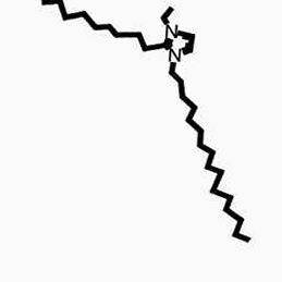 CCCCCCCCCCCCCCCC[n+]1ccn(CC)c1CCCCCCCCC